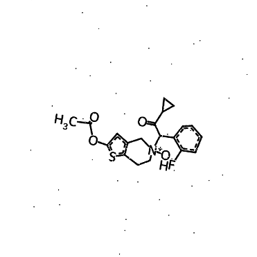 CC(=O)Oc1cc2c(s1)CC[N+](O)(C(C(=O)C1CC1)c1ccccc1F)C2